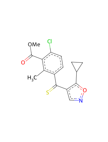 COC(=O)c1c(Cl)ccc(C(=S)c2cnoc2C2CC2)c1C